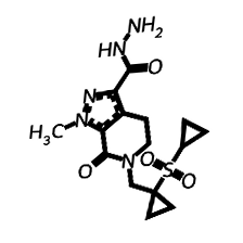 Cn1nc(C(=O)NN)c2c1C(=O)N(CC1(S(=O)(=O)C3CC3)CC1)CC2